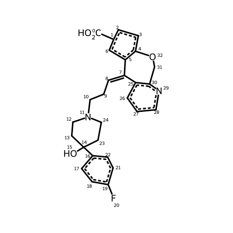 O=C(O)c1ccc2c(c1)/C(=C/CCN1CCC(O)(c3ccc(F)cc3)CC1)c1cccnc1CO2